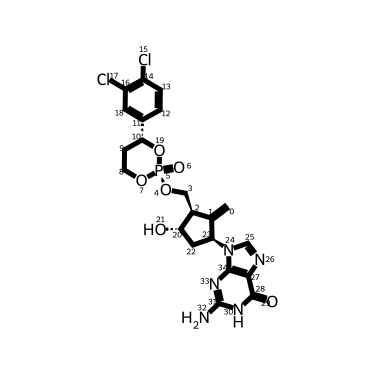 C=C1[C@H](CO[P@]2(=O)OCC[C@H](c3ccc(Cl)c(Cl)c3)O2)[C@@H](O)C[C@@H]1n1cnc2c(=O)[nH]c(N)nc21